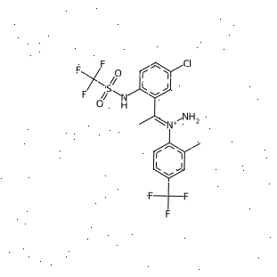 CC(c1cc(Cl)ccc1NS(=O)(=O)C(F)(F)F)=[N+](N)c1ccc(C(F)(F)F)cc1C